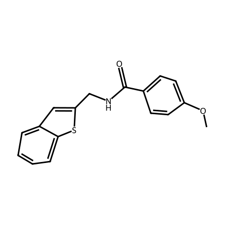 COc1ccc(C(=O)NCc2cc3ccccc3s2)cc1